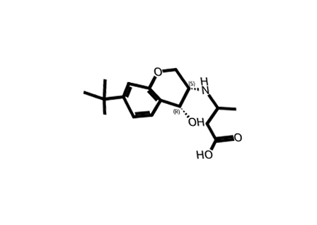 CC(CC(=O)O)N[C@H]1COc2cc(C(C)(C)C)ccc2[C@H]1O